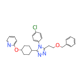 Clc1ccc(-n2c(CCOCc3ccccc3)nnc2C2CCC(Oc3ccccn3)CC2)cc1